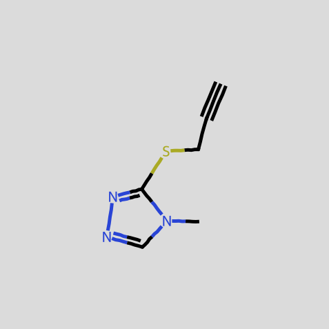 C#CCSc1nncn1C